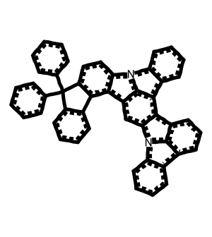 c1ccc(C2(c3ccccc3)c3ccccc3-c3c2ccc2c3c3cc4c(c5cccc6c7ccccc7n4c65)c4c5ccccc5n2c34)cc1